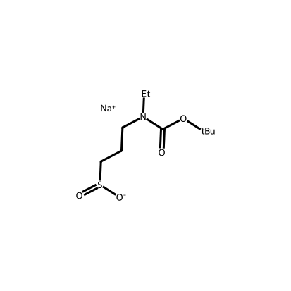 CCN(CCCS(=O)[O-])C(=O)OC(C)(C)C.[Na+]